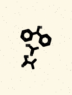 CC(=O)O.CC(C)C(=O)O.OC(c1ccccc1)c1ccccc1